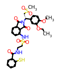 CCOc1cc([C@@H](CS(C)(=O)=O)N2C(=O)c3cccc(NS(=O)(=O)CCNC(=O)c4ccccc4S)c3C2=O)ccc1OC